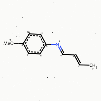 CC=CC=Nc1ccc(OC)cc1